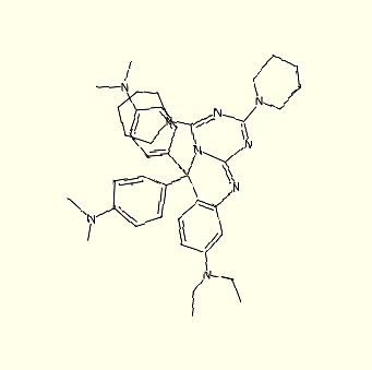 CCN(CC)c1ccc2c(c1)N=C1N=C(N3CCCCC3)N=C(N3CCCCC3)N1C2(c1ccc(N(C)C)cc1)c1ccc(N(C)C)cc1